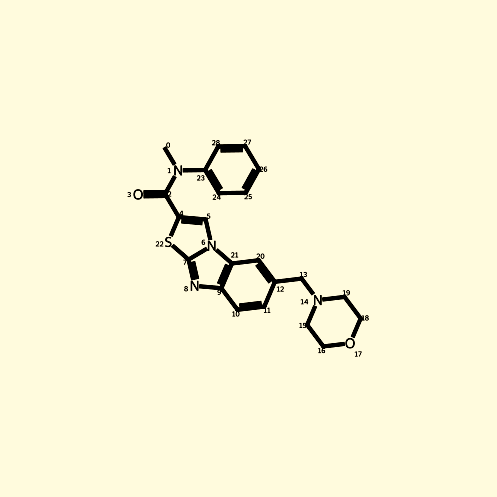 CN(C(=O)c1cn2c(nc3ccc(CN4CCOCC4)cc32)s1)c1ccccc1